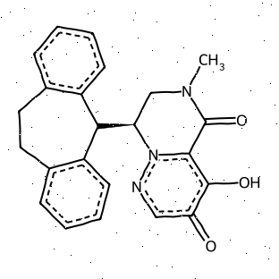 CN1C[C@H](C2c3ccccc3CCc3ccccc32)n2ncc(=O)c(O)c2C1=O